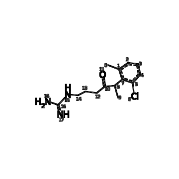 Cc1cccc(Cl)c1C(C)C(=O)CCCNC(=N)N